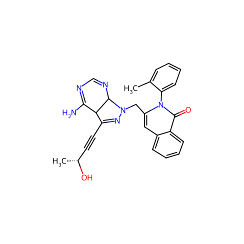 Cc1ccccc1-n1c(CN2N=C(C#C[C@@H](C)O)C3C(N)=NC=NC32)cc2ccccc2c1=O